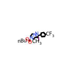 CCCCOC(=O)N1CCn2nc(-c3ccc(C(F)(F)F)cc3)c(I)c2[C@H]1C